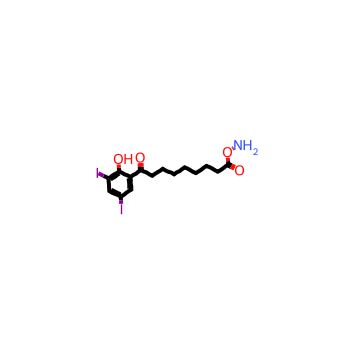 NOC(=O)CCCCCCCC(=O)c1cc(I)cc(I)c1O